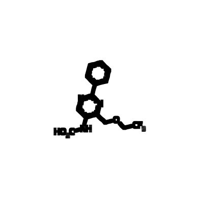 O=C(O)Nc1cnc(-c2ccccc2)nc1COCC(F)(F)F